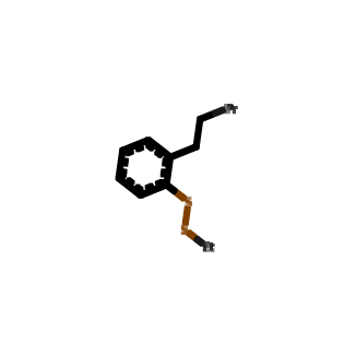 CCSSc1ccccc1CCC(C)C